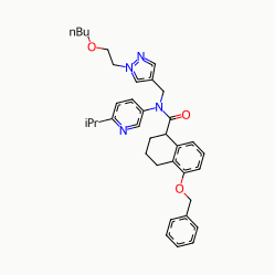 CCCCOCCn1cc(CN(C(=O)C2CCCc3c(OCc4ccccc4)cccc32)c2ccc(C(C)C)nc2)cn1